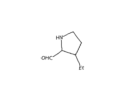 CCC1CCNC1[C]=O